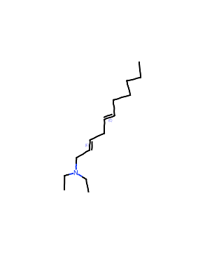 CCCCC/C=C/C/C=C/CN(CC)CC